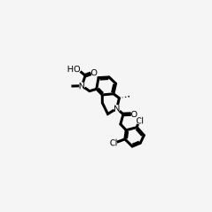 C[C@H]1c2cccc(CN(C)C(=O)O)c2CCN1C(=O)Cc1c(Cl)cccc1Cl